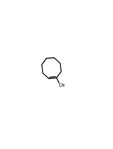 N#CC1=CCCCCCC1